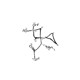 N[C@H](C(=O)O)C1(C2CC2)CS(O)(O)C1